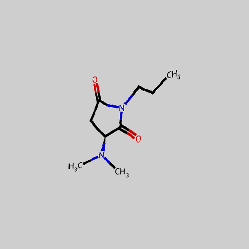 CCCN1C(=O)C[C@H](N(C)C)C1=O